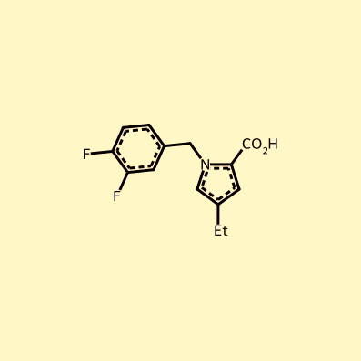 CCc1cc(C(=O)O)n(Cc2ccc(F)c(F)c2)c1